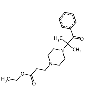 CCOC(=O)CCN1CCN(C(C)(C)C(=O)c2ccccc2)CC1